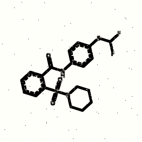 O=C(Nc1ccc(SC(F)F)cc1)c1ccccc1S(=O)(=O)N1CCCCC1